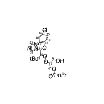 CCCC(=O)OCC(CO)OOC(C(Oc1ccc(Cl)cc1)n1cncn1)C(C)(C)C